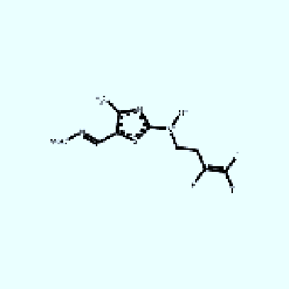 CON=Cc1sc([S+]([O-])CCC(F)=C(F)F)nc1C(F)(F)F